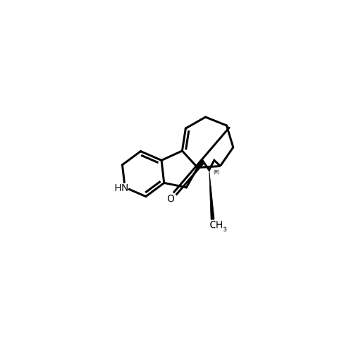 C[C@@H]1CC2CCCC=C3C4=CCNC=C4CC32C1=O